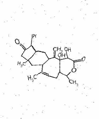 C=C1C2CC3C(C(C)C)C(=O)CC3(C)CC2C(C)=CCC2C(C)OC(=O)C(O)C12O